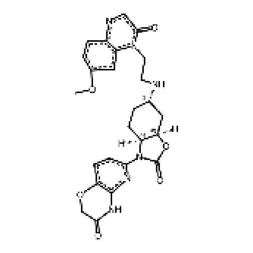 COc1ccc2ncc(=O)n(CCN[C@H]3CC[C@H]4[C@@H](C3)OC(=O)N4c3ccc4c(n3)NC(=O)CO4)c2c1